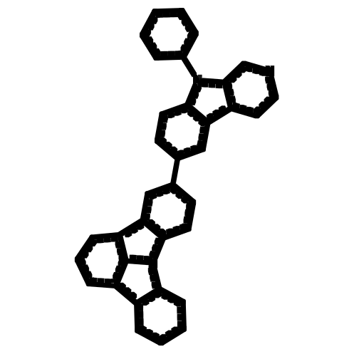 c1ccc(-n2c3ccc(-c4ccc5c(c4)c4cccc6c7ccccc7n5c64)cc3c3ccncc32)cc1